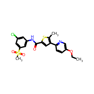 CCOc1ccc(-c2cc(C(=O)Nc3cc(Cl)cc(S(C)(=O)=O)c3)sc2C)nc1